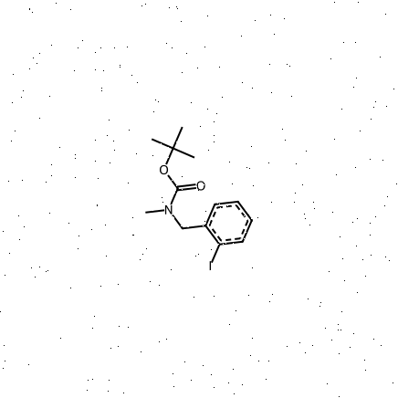 CN(Cc1ccccc1I)C(=O)OC(C)(C)C